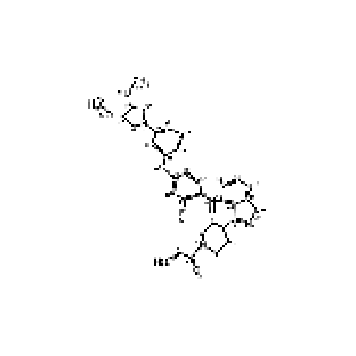 C=CC(=O)N1CCC(c2n[nH]c3ncnc(Nc4ccc(Oc5ccnc(N6C[C@H](OC)[C@H](OC)C6)c5)cc4F)c23)CC1